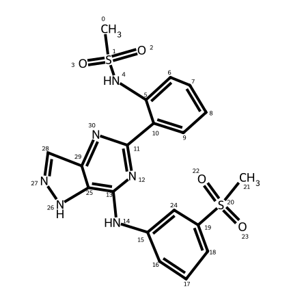 CS(=O)(=O)Nc1ccccc1-c1nc(Nc2cccc(S(C)(=O)=O)c2)c2[nH]ncc2n1